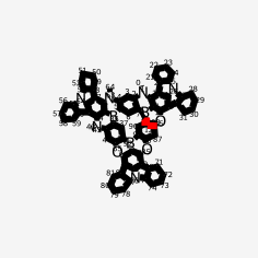 CN1c2cc3c(cc2B2c4ccccc4Oc4c2c1c1c2ccccc2n2c5ccccc5c4c12)B1c2cc4c(cc2N(C)c2c1c(c1c5ccccc5n5c6ccccc6c2c15)N3C)Oc1c2c(c3c5ccccc5n5c6ccccc6c1c35)Oc1ccccc1B42